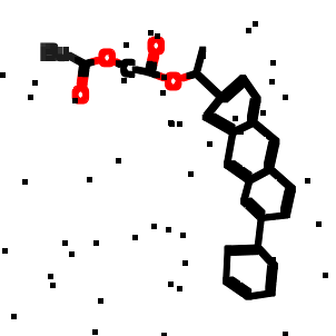 CCC(C)C(=O)OCC(=O)OC(C)c1ccc2cc3ccc(-c4ccccc4)cc3cc2c1